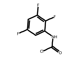 O=C(Cl)Nc1cc(F)cc(F)c1F